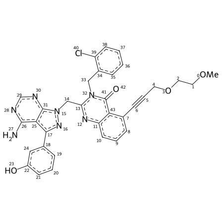 COCCOCC#Cc1cccc2nc(Cn3nc(-c4cccc(O)c4)c4c(N)ncnc43)n(Cc3ccccc3Cl)c(=O)c12